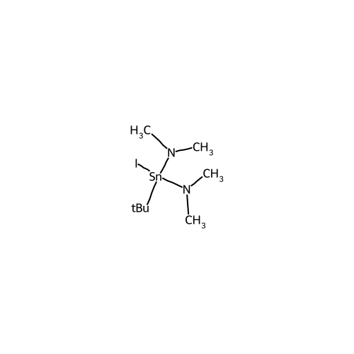 C[N](C)[Sn]([I])([N](C)C)[C](C)(C)C